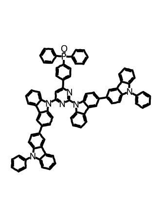 O=P(c1ccccc1)(c1ccccc1)c1ccc(-c2cc(-n3c4ccccc4c4cc(-c5ccc6c(c5)c5ccccc5n6-c5ccccc5)ccc43)nc(-n3c4ccccc4c4cc(-c5ccc6c(c5)c5ccccc5n6-c5ccccc5)ccc43)n2)cc1